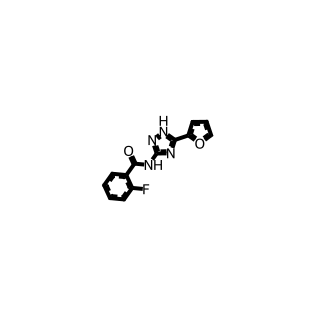 O=C(Nc1n[nH]c(-c2ccco2)n1)c1ccccc1F